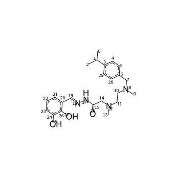 CC(C)c1ccc(CN(C)CCN(C)CC(=O)N/N=C/c2cccc(O)c2O)cc1